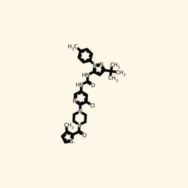 Cc1ccc(-n2nc(C(C)(C)C)cc2NC(=O)Nc2cnc(N3CCN(C(=O)c4sccc4C)CC3)c(Cl)c2)cc1